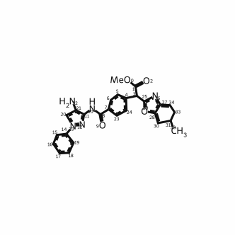 COC(=O)C(c1ccc(C(=O)Nc2nn(-c3ccccc3)cc2N)cc1)c1nc2c(o1)=CC(C)CC=2